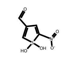 O=CC1=CS(O)(O)C([N+](=O)[O-])=C1